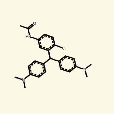 CC(=O)Nc1ccc(Cl)c(C(c2ccc(N(C)C)cc2)c2ccc(N(C)C)cc2)c1